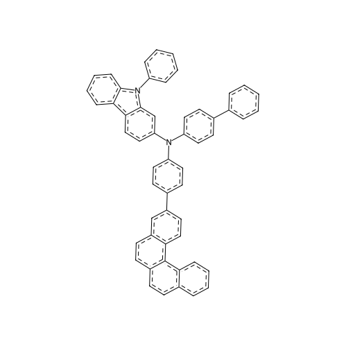 c1ccc(-c2ccc(N(c3ccc(-c4ccc5c(ccc6ccc7ccccc7c65)c4)cc3)c3ccc4c5ccccc5n(-c5ccccc5)c4c3)cc2)cc1